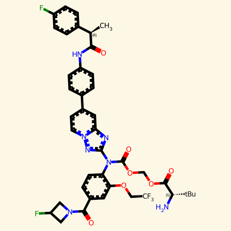 C[C@@H](C(=O)Nc1ccc(-c2ccn3nc(N(C(=O)OCOC(=O)[C@@H](N)C(C)(C)C)c4ccc(C(=O)N5CC(F)C5)cc4OCC(F)(F)F)nc3c2)cc1)c1ccc(F)cc1